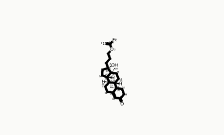 CCC(=O)OCCC[C@]1(O)CC[C@H]2[C@@H]3CCC4=CC(=O)CC[C@]4(C)[C@H]3CC[C@@]21C